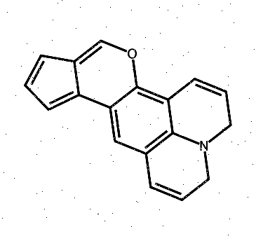 C1=Cc2cc3c4cccc-4coc3c3c2N(C1)CC=C3